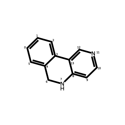 c1ccc2c(c1)CNc1ccncc1-2